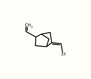 C=CC1CC2CC1CC2=CCC